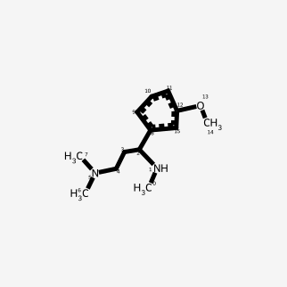 CNC(CCN(C)C)c1cccc(OC)c1